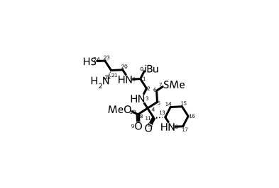 CCC(C)C(CNC(CCSC)(C(=O)OC)C(=O)[C@@H]1CCCCN1)NC[C@H](N)CS